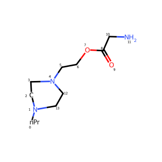 CCCN1CCN(CCOC(=O)CN)CC1